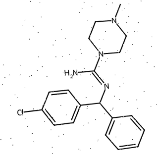 CN1CCN(C(N)=NC(c2ccccc2)c2ccc(Cl)cc2)CC1